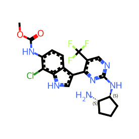 COC(=O)Nc1ccc2c(-c3nc(N[C@H]4CCC[C@@H]4N)ncc3C(F)(F)F)c[nH]c2c1Cl